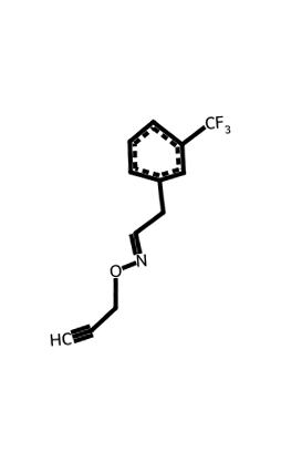 C#CCON=CCc1cccc(C(F)(F)F)c1